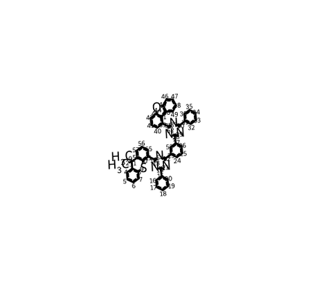 CC1(C)c2ccccc2Sc2c(-c3nc(-c4ccccc4)nc(-c4cccc(-c5nc(-c6ccccc6)nc(-c6cccc7oc8ccccc8c67)n5)c4)n3)cccc21